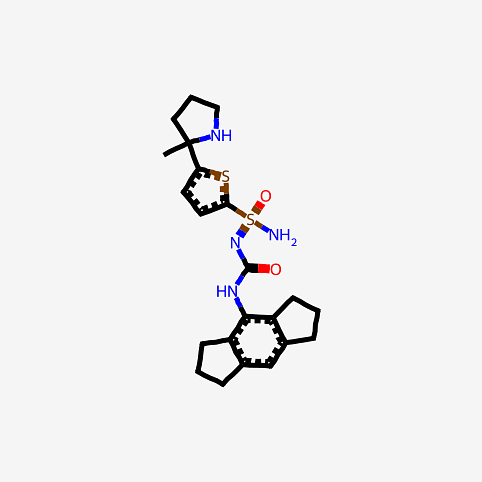 CC1(c2ccc(S(N)(=O)=NC(=O)Nc3c4c(cc5c3CCC5)CCC4)s2)CCCN1